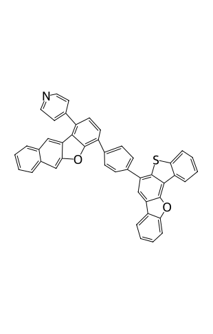 c1ccc2cc3c(cc2c1)oc1c(-c2ccc(-c4cc5c6ccccc6oc5c5c4sc4ccccc45)cc2)ccc(-c2ccncc2)c13